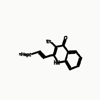 CCCCCCCC=Cc1[nH]c2ccccc2c(=O)c1CC